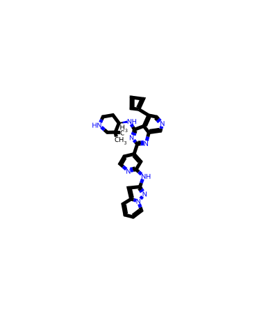 CC1(C)CNCC[C@H]1Nc1nc(-c2ccnc(Nc3cc4ccccn4n3)c2)nc2cncc(C3=CC=C3)c12